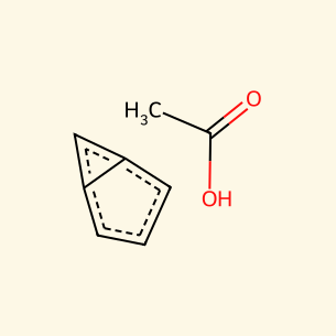 CC(=O)O.c1cc2cc-2c1